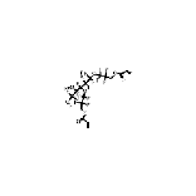 C=CC(=O)OCC(F)(F)C(F)(F)OC(F)(F)C(F)(OF)C(F)(OC(F)(F)C(F)(F)COC(=O)C=C)C(F)(OF)C(F)(F)OF